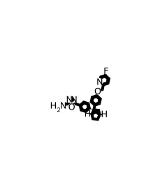 Nc1nnc(-c2ccc([C@]3(c4ccc(OCc5ccc(F)cn5)cc4)C[C@@H]4CC[C@H]3C4)cc2)o1